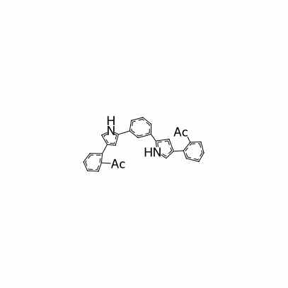 CC(=O)c1ccccc1-c1c[nH]c(-c2cccc(-c3cc(-c4ccccc4C(C)=O)c[nH]3)c2)c1